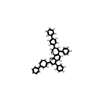 C1=CC(c2ccccc2)=CC=C(c2cc(-c3ccccc3)c3ccc4c(c3n2)N=CC(c2ccc(-c3ccccc3)cc2)C=C4c2ccccc2)C1